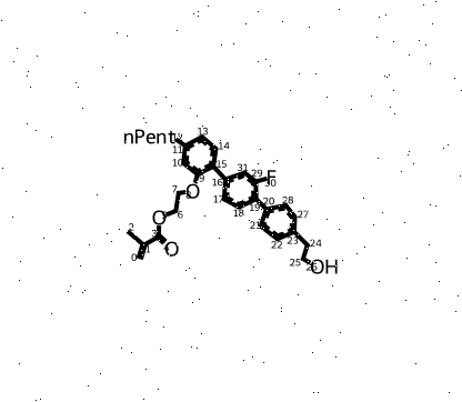 C=C(C)C(=O)OCCOc1cc(CCCCC)ccc1-c1ccc(-c2ccc(CCO)cc2)c(F)c1